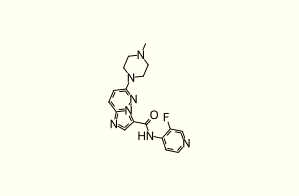 CN1CCN(c2ccc3ncc(C(=O)Nc4ccncc4F)n3n2)CC1